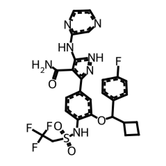 NC(=O)c1c(-c2ccc(NS(=O)(=O)CC(F)(F)F)c(OC(c3ccc(F)cc3)C3CCC3)c2)n[nH]c1Nc1cnccn1